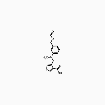 CN(Cc1cscc1C(=O)O)c1cccc(COC=O)c1